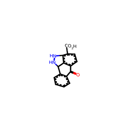 O=C(O)c1ccc2c3c1NNC3c1ccccc1C2=O